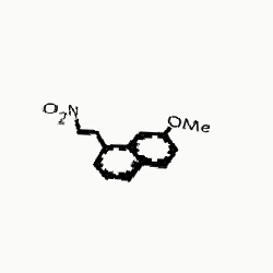 COc1ccc2cccc(CC[N+](=O)[O-])c2c1